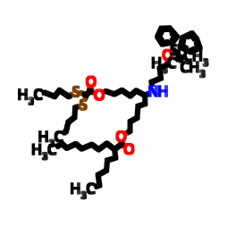 CCCCCCCCC(CCCCCC)C(=O)OCCCCCC(CCCCCOC(=O)C(SCCCCC)SCCCCC)NCCCCO[Si](c1ccccc1)(c1ccccc1)C(C)(C)C